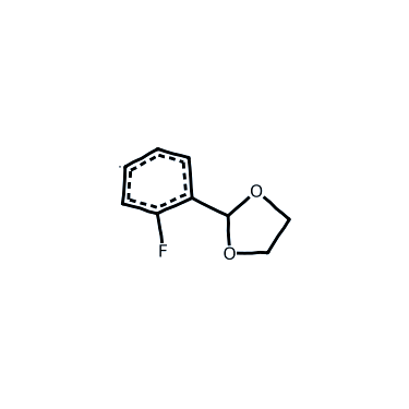 Fc1c[c]ccc1C1OCCO1